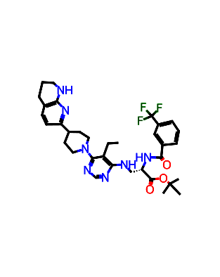 CCc1c(NC[C@H](NC(=O)c2cccc(C(F)(F)F)c2)C(=O)OC(C)(C)C)ncnc1N1CCC(c2ccc3c(n2)NCCC3)CC1